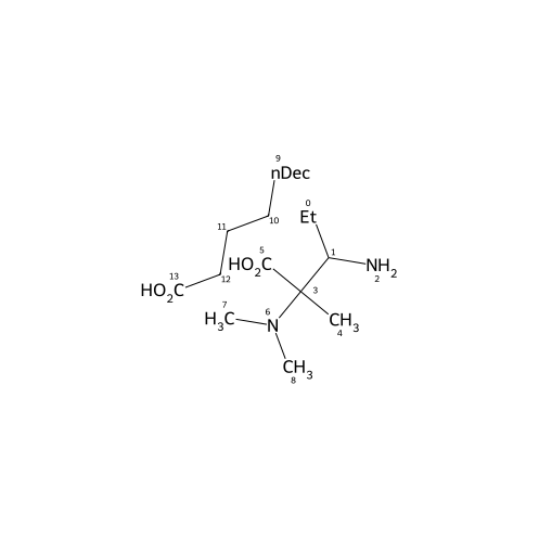 CCC(N)C(C)(C(=O)O)N(C)C.CCCCCCCCCCCCCC(=O)O